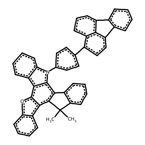 CC1(C)c2ccccc2-c2c1c1c3ccccc3oc1c1c3ccccc3n(-c3ccc(-c4ccc5c6c(cccc46)-c4ccccc4-5)cc3)c21